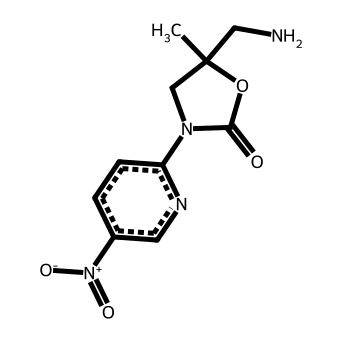 CC1(CN)CN(c2ccc([N+](=O)[O-])cn2)C(=O)O1